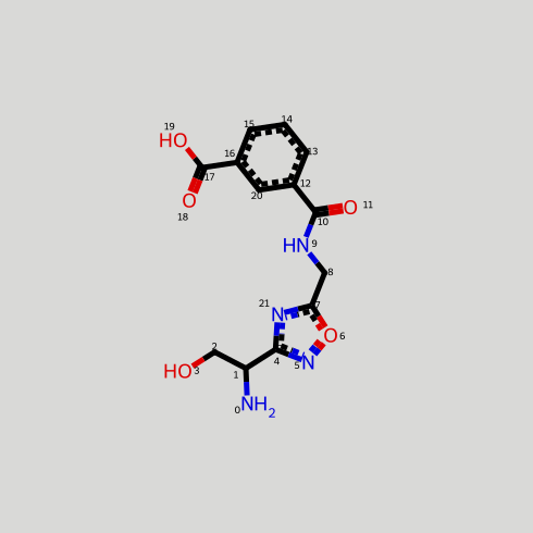 NC(CO)c1noc(CNC(=O)c2cccc(C(=O)O)c2)n1